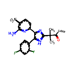 COC(=O)C(C)(C)c1nc(-c2ccc([N+](=O)[O-])c(N)n2)c(-c2ccc(F)cc2F)[nH]1